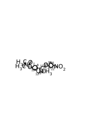 CN(C)C(=O)Oc1ccc2c(c1)CCN(C)C2CCOc1ccc([N+](=O)[O-])cc1